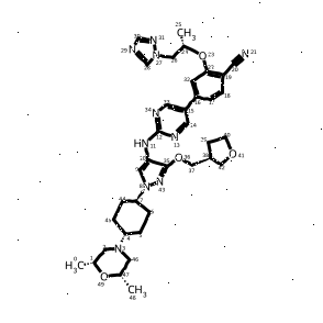 C[C@@H]1CN([C@H]2CC[C@H](n3cc(Nc4ncc(-c5ccc(C#N)c(O[C@@H](C)Cn6cncn6)c5)cn4)c(OC[C@H]4CCOC4)n3)CC2)C[C@H](C)O1